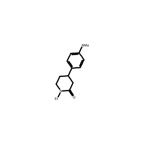 CCN1CCC(c2ccc(NC)cc2)CC1=O